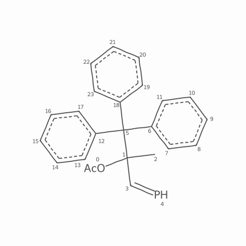 CC(=O)OC(C)(C=P)C(c1ccccc1)(c1ccccc1)c1ccccc1